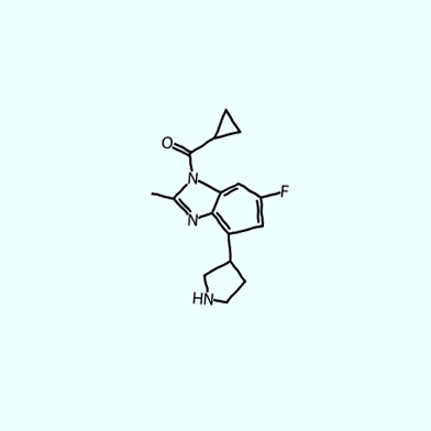 Cc1nc2c(C3CCNC3)cc(F)cc2n1C(=O)C1CC1